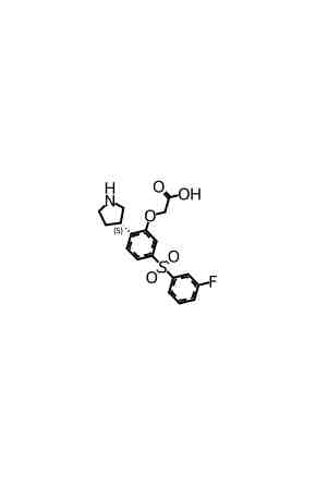 O=C(O)COc1cc(S(=O)(=O)c2cccc(F)c2)ccc1[C@@H]1CCNC1